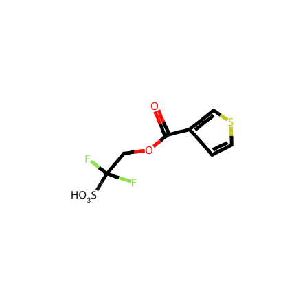 O=C(OCC(F)(F)S(=O)(=O)O)c1ccsc1